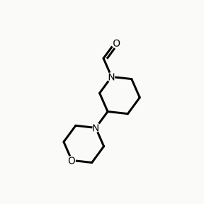 O=CN1CCCC(N2CCOCC2)C1